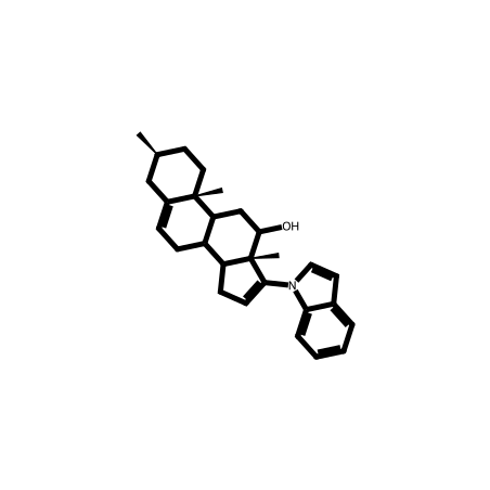 C[C@H]1CC[C@@]2(C)C(=CCC3C4CC=C(n5ccc6ccccc65)[C@@]4(C)C(O)CC32)C1